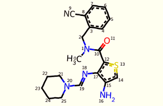 CN(Cc1ccccc1C#N)C(=O)c1scc(N)c1/N=C/N1CCCCC1